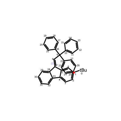 CC(C)(C)c1ccc2c(c1)/C(=C\C(c1ccccc1)(c1ccccc1)c1ccccc1)c1ccccc1-2